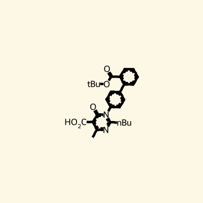 CCCCc1nc(C)c(C(=O)O)c(=O)n1-c1ccc(-c2ccccc2C(=O)OC(C)(C)C)cc1